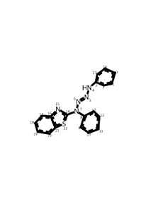 c1ccc(NN=NN(c2ccccc2)c2nc3ccccc3s2)cc1